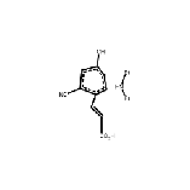 CCNCC.N#Cc1cc(O)ccc1/C=C/C(=O)O